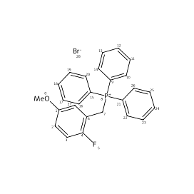 COc1ccc(F)c(C[P+](c2ccccc2)(c2ccccc2)c2ccccc2)c1.[Br-]